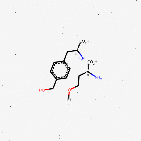 CCOCC[C@H](N)C(=O)O.N[C@@H](Cc1ccc(CO)cc1)C(=O)O